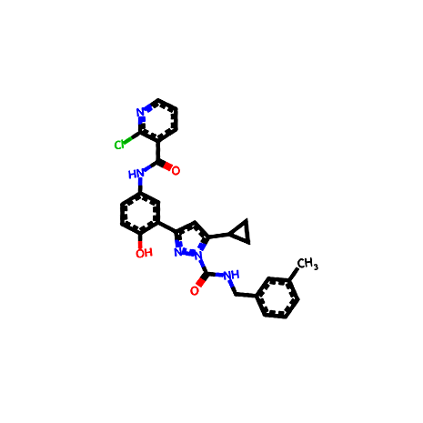 Cc1cccc(CNC(=O)n2nc(-c3cc(NC(=O)c4cccnc4Cl)ccc3O)cc2C2CC2)c1